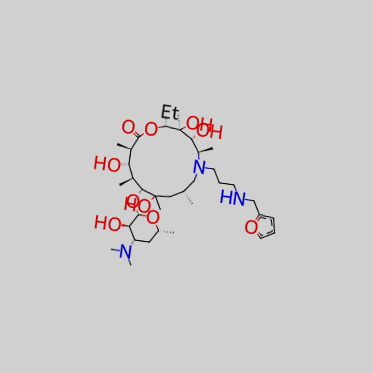 CC[C@H]1OC(=O)[C@H](C)[C@@H](O)[C@H](C)[C@@H](O[C@@H]2O[C@H](C)C[C@H](N(C)C)[C@H]2O)C(C)(O)C[C@@H](C)CN(CCCNCc2ccco2)[C@H](C)[C@@H](O)[C@]1(C)O